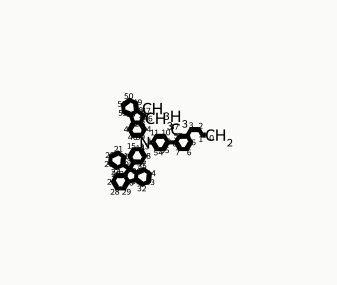 C=C/C=C\c1cccc(-c2ccc(N(c3ccc(C4(c5ccccc5)c5ccccc5-c5ccccc54)cc3)c3ccc4c(c3)C(C)(C)c3ccccc3-4)cc2)c1C